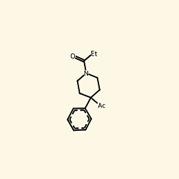 CCC(=O)N1CCC(C(C)=O)(c2ccccc2)CC1